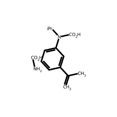 C=C(C)c1cccc(N(C(=O)O)C(C)C)c1.NC(=O)O